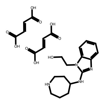 O=C(O)C=CC(=O)O.O=C(O)C=CC(=O)O.OCCn1c(NC2CCCNCC2)nc2ccccc21